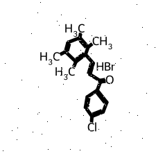 Br.Cc1cc(C)c(C)c(/C=C/C(=O)c2ccc(Cl)cc2)c1C